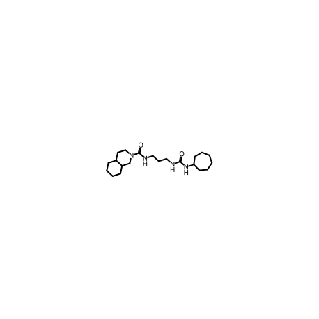 O=C(NCCCNC(=O)N1CCC2CCCCC2C1)NC1CCCCCC1